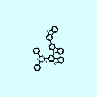 c1ccc(C2=NC(c3ccccc3)NC(c3cc(-n4c5ccccc5c5cc(-c6ccc7oc8ccccc8c7c6)ccc54)c4c(c3)oc3ccccc34)=N2)cc1